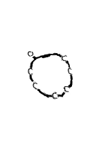 O=C1C=CCCCCCCCCCCCCCCC1